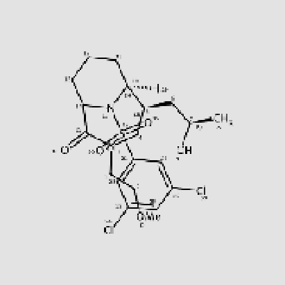 COCCN1C[C@H](C[C@@H](C)O)[C@@H]2CCCC(C1=O)N2S(=O)(=O)c1cc(Cl)cc(Cl)c1